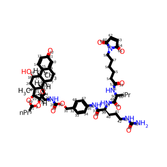 CCCC1O[C@@H]2C[C@H]3[C@@H]4CCC5=CC(=O)C=C[C@]5(C)[C@H]4[C@@H](O)C[C@]3(C)[C@]2(C(=O)CNC(=O)OCc2ccc(NC(=O)[C@H](CCCNC(N)=O)NC(=O)C(NC(=O)CCCCCN3C(=O)C=CC3=O)C(C)C)cc2)O1